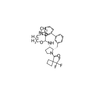 COC(N[C@H]1CCN(C(=O)C2(C(F)(F)F)CCC2)[C@H]1Cc1cccc(-c2cccc(F)c2)c1)C(=O)N(C)C